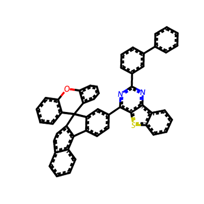 c1ccc(-c2cccc(-c3nc(-c4ccc5c(c4)C4(c6ccccc6Oc6ccccc64)c4ccc6ccccc6c4-5)c4sc5ccccc5c4n3)c2)cc1